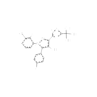 Cc1c(-c2nnc(C(C)(C)C)o2)nn(-c2cccc(Cl)c2Cl)c1-c1ccc(Cl)cc1